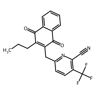 CCCC1=C(Cc2ccc(C(F)(F)F)c(C#N)n2)C(=O)c2ccccc2C1=O